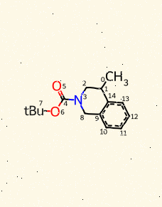 CC1CN(C(=O)OC(C)(C)C)Cc2ccccc21